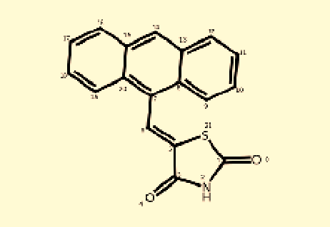 O=C1NC(=O)/C(=C/c2c3ccccc3cc3ccccc23)S1